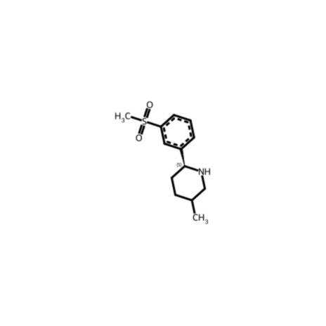 CC1CC[C@@H](c2cccc(S(C)(=O)=O)c2)NC1